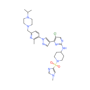 Cc1nc(CN2CCN(C(C)C)CC2)ccc1-n1cc(-c2nc(NC3CCN(S(=O)(=O)c4cn(C)cn4)CC3)ncc2Cl)cn1